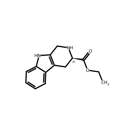 CCOC(=O)[C@H]1Cc2c([nH]c3ccccc23)CN1